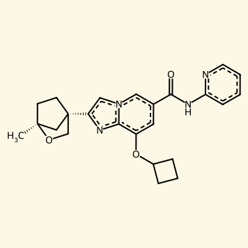 C[C@@]12CC[C@@](c3cn4cc(C(=O)Nc5ccccn5)cc(OC5CCC5)c4n3)(CO1)C2